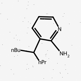 CCCCC(CCC)c1cccnc1N